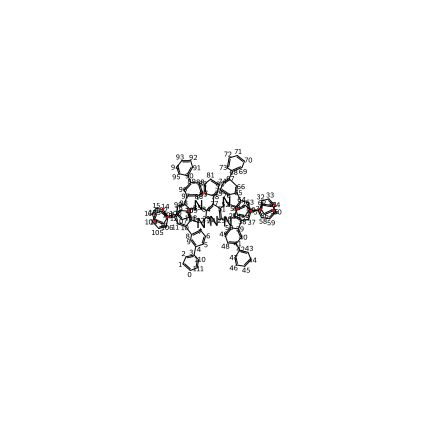 c1ccc(-c2ccc3c(c2)c2cc(-c4ccccc4)ccc2n3-c2nc(-n3c4ccc(-c5ccccc5)cc4c4cc(-c5ccccc5)ccc43)c(-n3c4ccc(-c5ccccc5)cc4c4cc(-c5ccccc5)ccc43)c(-c3ccccc3)c2-n2c3ccc(-c4ccccc4)cc3c3cc(-c4ccccc4)ccc32)cc1